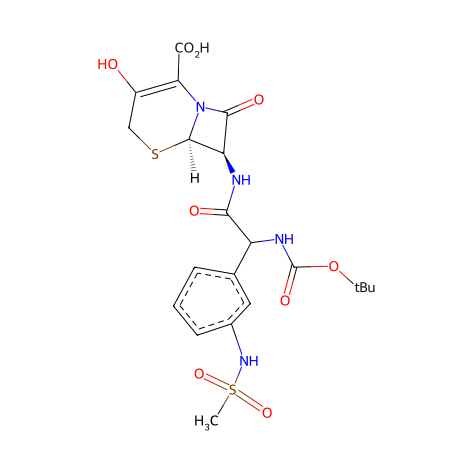 CC(C)(C)OC(=O)NC(C(=O)N[C@@H]1C(=O)N2C(C(=O)O)=C(O)CS[C@H]12)c1cccc(NS(C)(=O)=O)c1